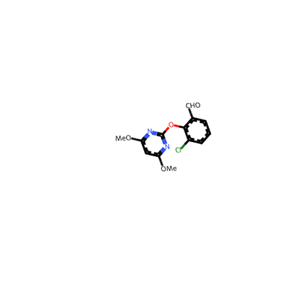 COc1cc(OC)nc(Oc2c(Cl)cccc2C=O)n1